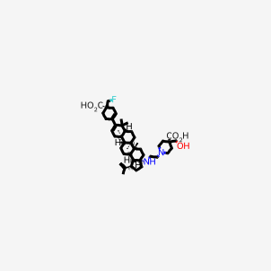 C=C(C)[C@@H]1CC[C@]2(NCCN3CCC(CO)(C(=O)O)CC3)CC[C@]3(C)[C@H](CC[C@@H]4[C@@]5(C)CC=C(C6=CC[C@@](CF)(C(=O)O)CC6)C(C)(C)[C@@H]5CC[C@]43C)[C@@H]12